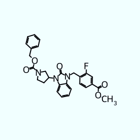 COC(=O)c1ccc(Cn2c(=O)n(C3CCN(C(=O)OCc4ccccc4)C3)c3ccccc32)c(F)c1